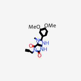 C#CCn1c(=O)[nH]c2c(c1=O)N(C)C(c1ccc(OC)c(OC)c1)N2